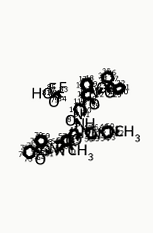 Cc1cc(CC(NC(=O)N2CCC(c3cc4ccccc4n(COC(=O)C4(c5ccccc5)CCCCC4)c3=O)CC2)C(=O)N2CCN(C3CCN(C)CC3)CC2)cc2cn(COC(=O)C3(c4ccccc4)CCCCC3)nc12.O=C(O)C(F)(F)F